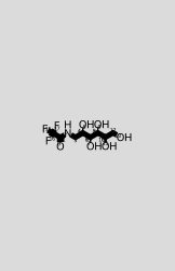 O=C(NC[C@H](O)[C@@H](O)[C@H](O)[C@H](O)CO)C(F)(F)F